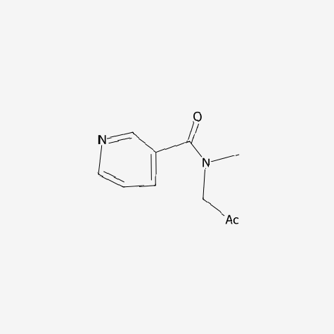 CC(=O)CN(C)C(=O)c1cccnc1